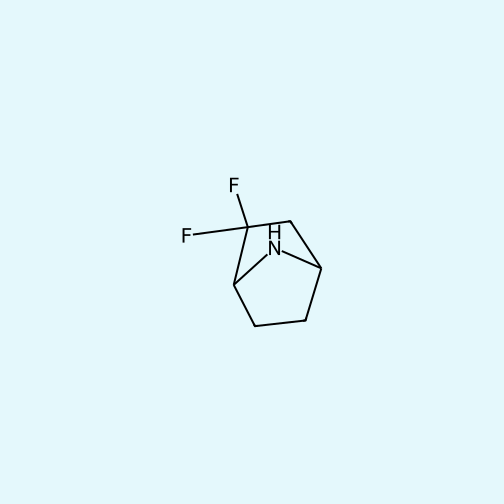 FC1(F)CC2CCC1N2